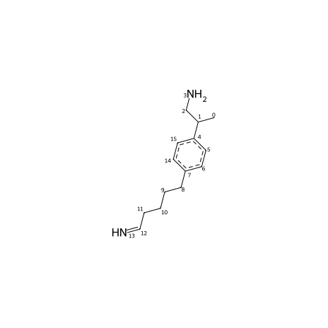 CC(CN)c1ccc(CCCCC=N)cc1